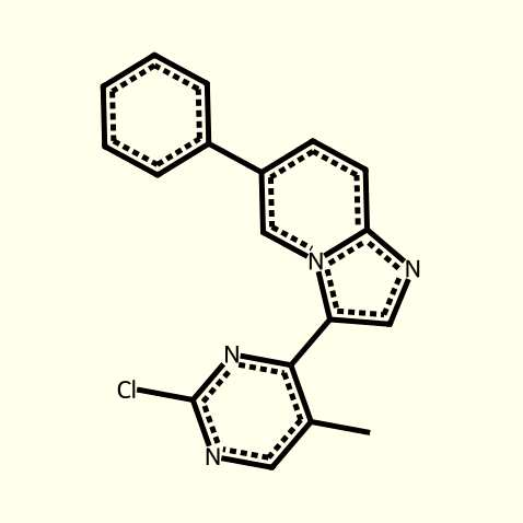 Cc1cnc(Cl)nc1-c1cnc2ccc(-c3ccccc3)cn12